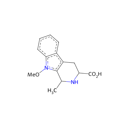 COn1c2c(c3ccccc31)CC(C(=O)O)NC2C